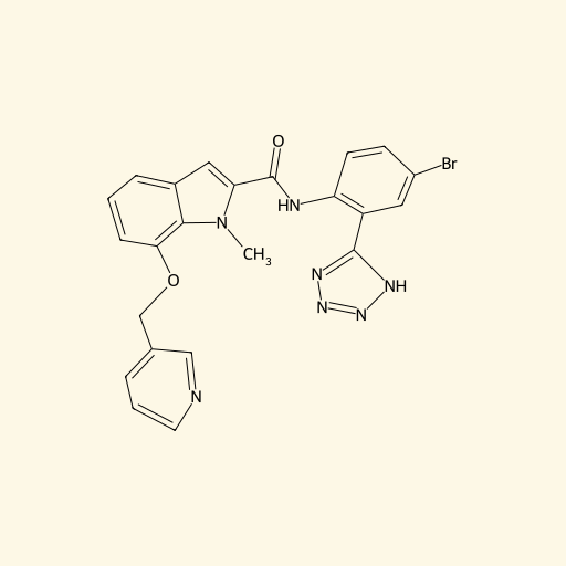 Cn1c(C(=O)Nc2ccc(Br)cc2-c2nnn[nH]2)cc2cccc(OCc3cccnc3)c21